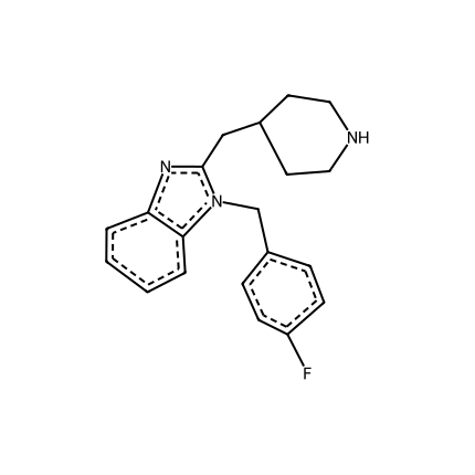 Fc1ccc(Cn2c(CC3CCNCC3)nc3ccccc32)cc1